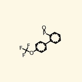 O=Pc1ccccc1-c1ccc(OC(F)(F)F)cc1